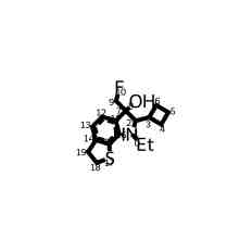 CCNC(C1CCC1)C(O)(CF)c1ccc2c(c1)SCC2